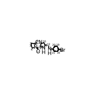 N#C[C@@H]1CCCN1C(=O)[C@@H]1CC[C@H](CNc2ccc(Br)cc2)N1